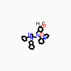 COc1ccc(CN(Cc2cnc(-c3ccccc3)n2C2Cc3ccccc3C2)C(=O)c2ccccc2-n2cccc2)cc1